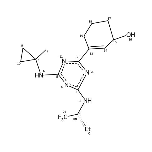 CC[C@@H](Nc1nc(NC2(C)CC2)nc(C2=CC(O)CCC2)n1)C(F)(F)F